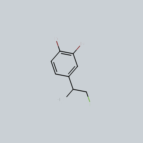 [CH2]C(CF)c1ccc(Br)c(Br)c1